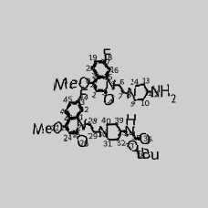 COc1cc(=O)n(CCN2CCC(N)CC2)c2cc(F)ccc12.COc1cc(=O)n(CCN2CCC(NC(=O)OC(C)(C)C)CC2)c2cc(F)ccc12